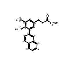 COC(=O)CCc1cc(-c2ccc3ccccc3c2)c(OCC(C)C)c([N+](=O)[O-])c1